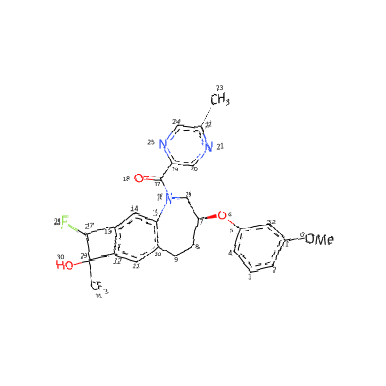 COc1cccc(O[C@H]2CCc3cc4c(cc3N(C(=O)c3cnc(C)cn3)C2)C(F)C4(O)C(F)(F)F)c1